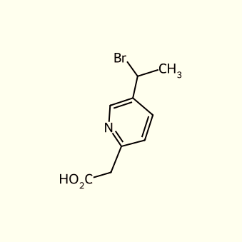 CC(Br)c1ccc(CC(=O)O)nc1